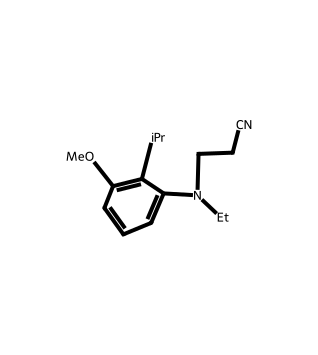 CCN(CCC#N)c1cccc(OC)c1C(C)C